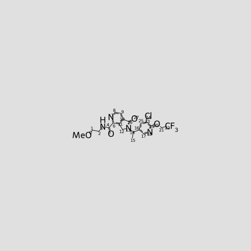 COCCNC(=O)c1nccc2c1CN(C(C)c1cnc(OCC(F)(F)F)c(Cl)c1)C2=O